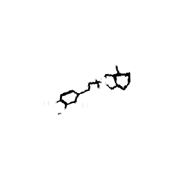 CC1C(OC(F)(F)F)=C(O)C=CC1CCC(C)(C)N1Cc2cccc(C(=O)O)c2C1